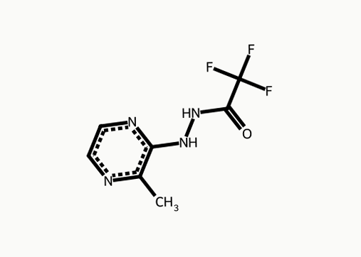 Cc1nccnc1NNC(=O)C(F)(F)F